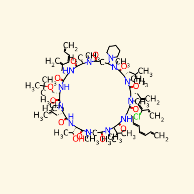 C=C/C=C\C=C\C[C@@H]1NC(=O)C(C(C)C)N(C)C(=O)CN(C)C(=O)[C@H](C(C)O)NC(=O)[C@H](CC(C)C)N(C)C(=O)[C@H](COC(C)(C)C)NC(=O)[C@H](CC(=C)/C=C\C=C)NC(=O)[C@@H](C)N(C)C(=O)CC(N2CCCCC2)N(C)C(=O)[C@H](CC(C)C)N(C)C(=O)[C@H](CC(=C)/C=C(/Cl)C=C)N(C)C1=O